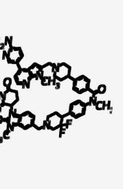 CN(C(=O)c1ccc(C2CCN(Cc3cc4c(-c5ccc(N)nc5)ccnc4n3C)CC2)cc1)c1ccc(C2CCN(Cc3ccc4c(c3)n(C)c(=O)n4C3CCC(=O)NC3=O)CC2(F)F)cc1